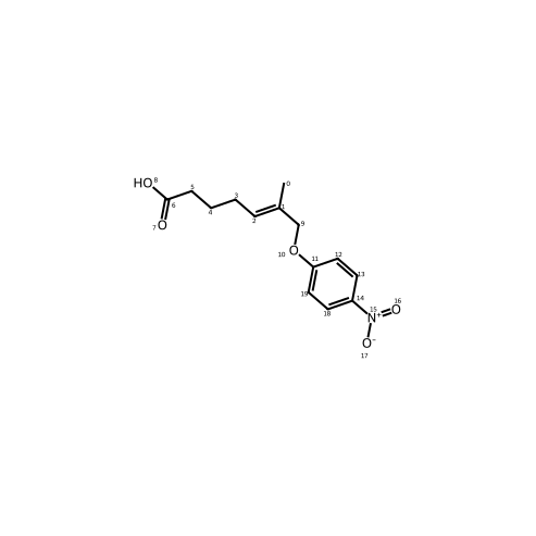 CC(=CCCCC(=O)O)COc1ccc([N+](=O)[O-])cc1